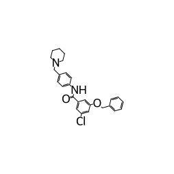 O=C(Nc1ccc(CN2CCCCC2)cc1)c1cc(Cl)cc(OCc2ccccc2)c1